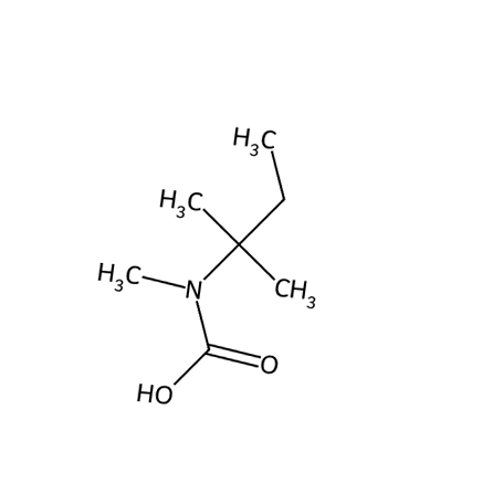 CCC(C)(C)N(C)C(=O)O